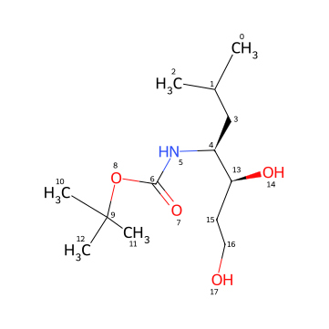 CC(C)C[C@H](NC(=O)OC(C)(C)C)[C@@H](O)CCO